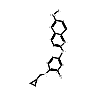 CCNc1ccc2nc(Oc3ccc(OCC4CC4)c(Br)c3)ccc2c1